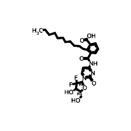 CCCCCCCCCCCc1c(C(=O)O)cccc1C(=O)Nc1ccn([C@@H]2O[C@H](CO)[C@@H](O)C2(F)F)c(=O)n1